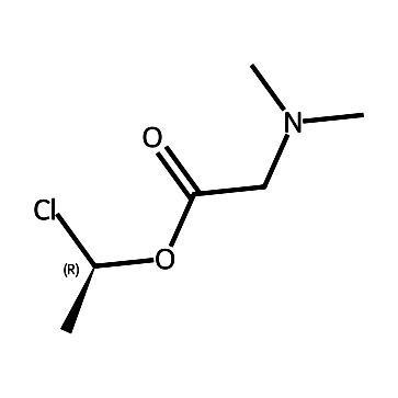 C[C@@H](Cl)OC(=O)CN(C)C